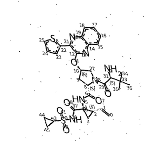 C=C[C@@H]1C[C@]1(NC(=O)[C@@H]1C[C@@H](Oc2nc3ccccc3nc2-c2cccs2)CN1C(=O)[C@@H](N)C(C)(C)C)C(=O)NS(=O)(=O)C1CC1